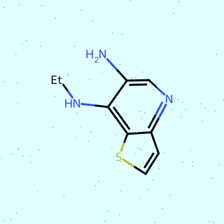 CCNc1c(N)cnc2ccsc12